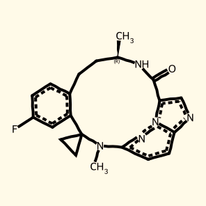 C[C@@H]1CCc2ccc(F)cc2C2(CC2)N(C)c2ccc3ncc(n3n2)C(=O)N1